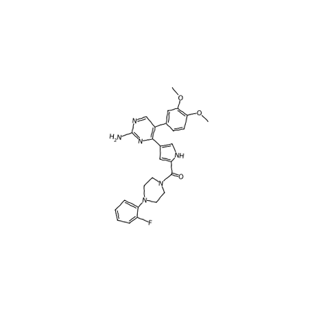 COc1ccc(-c2cnc(N)nc2-c2c[nH]c(C(=O)N3CCN(c4ccccc4F)CC3)c2)cc1OC